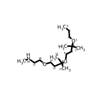 CCCOC(C)(C)CCOC(C)(C)CCOCCNC